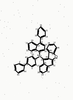 c1ccc(-c2ccc(N(c3ccc(-c4ccccc4)c4ccccc34)c3c4ccccc4cc4oc5ccccc5c34)cc2)cc1